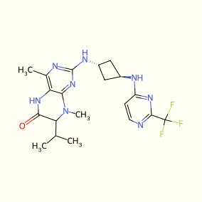 Cc1nc(N[C@H]2C[C@H](Nc3ccnc(C(F)(F)F)n3)C2)nc2c1NC(=O)C(C(C)C)N2C